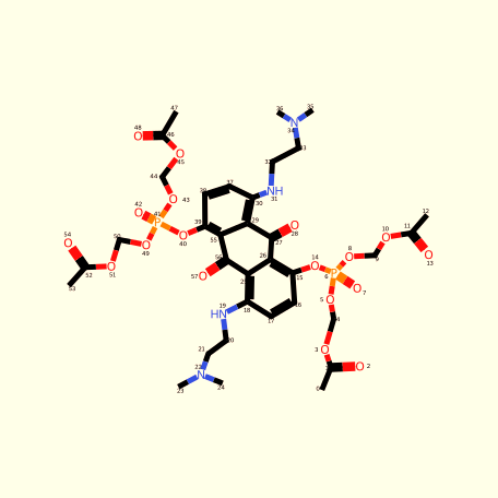 CC(=O)OCOP(=O)(OCOC(C)=O)Oc1ccc(NCCN(C)C)c2c1C(=O)c1c(NCCN(C)C)ccc(OP(=O)(OCOC(C)=O)OCOC(C)=O)c1C2=O